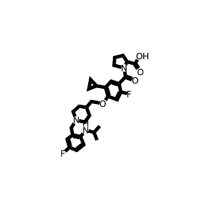 CC(C)Nc1ccc(F)cc1CN1CCC(COc2cc(F)c(C(=O)N3CCCC3C(=O)O)cc2C2CC2)CC1